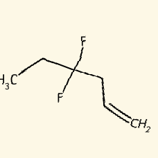 C=CCC(F)(F)CC